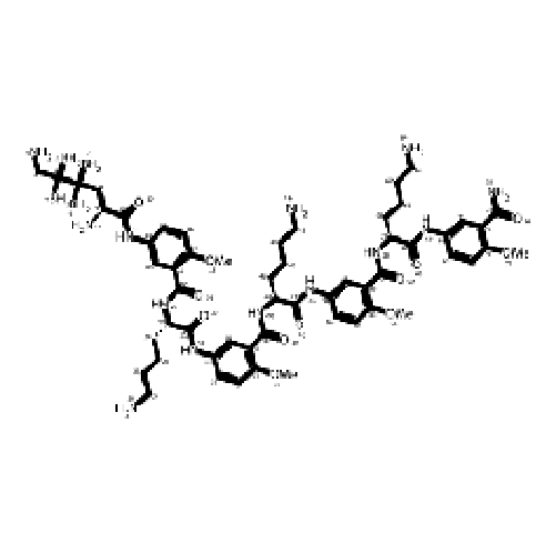 BC(B)(CN)C(B)(B)C[C@H](N)C(=O)Nc1ccc(OC)c(C(=O)N[C@@H](CCCCN)C(=O)Nc2ccc(OC)c(C(=O)N[C@@H](CCCCN)C(=O)Nc3ccc(OC)c(C(=O)N[C@@H](CCCCN)C(=O)Nc4ccc(OC)c(C(N)=O)c4)c3)c2)c1